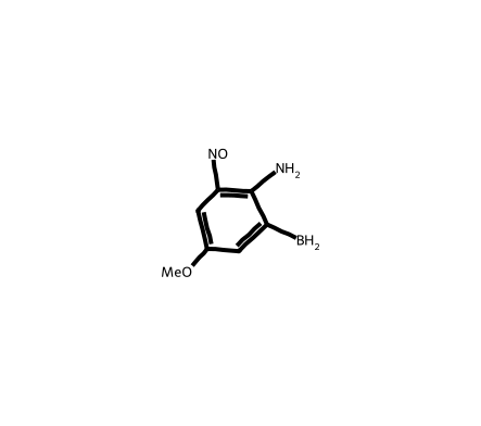 Bc1cc(OC)cc(N=O)c1N